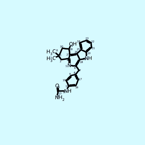 CC1(C)Cc2nc(Cc3ccc(NC(N)=O)cc3)c3[nH]c4ccccc4c3c2C(O)C1